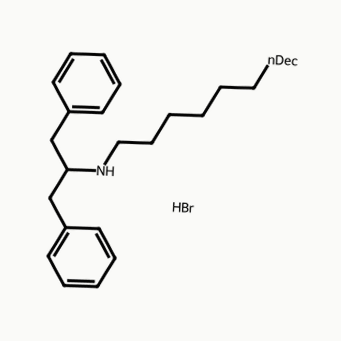 Br.CCCCCCCCCCCCCCCCNC(Cc1ccccc1)Cc1ccccc1